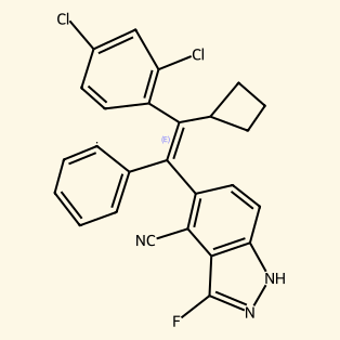 N#Cc1c(/C(=C(/c2ccc(Cl)cc2Cl)C2CCC2)c2[c]cccc2)ccc2[nH]nc(F)c12